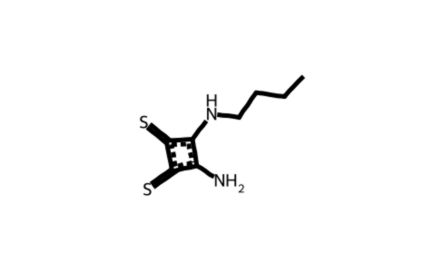 CCCCNc1c(N)c(=S)c1=S